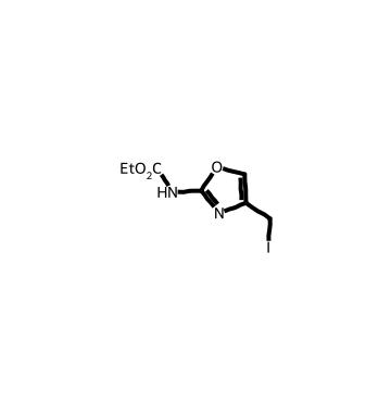 CCOC(=O)Nc1nc(CI)co1